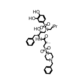 CC(C)CN(C[C@@H](O)[C@H](Cc1ccccc1)NC(=O)[C@H](C)CS(=O)(=O)N1CCN(Cc2ccccc2)CC1)S(=O)(=O)c1ccc(O)c(O)c1